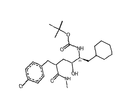 CNC(=O)C(Cc1ccc(Cl)cc1)CC(O)[C@H](CC1CCCCC1)NC(=O)OC(C)(C)C